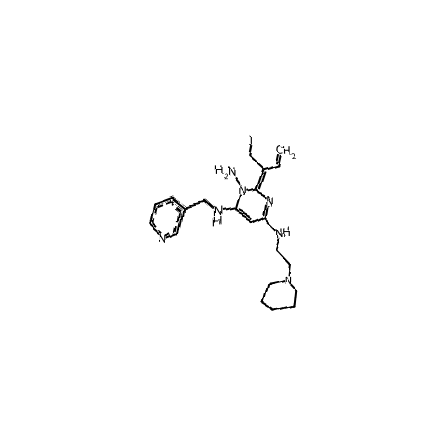 C=C/C(CI)=C1\N=C(NCCN2CCCCC2)C=C(NCc2cccnc2)N1N